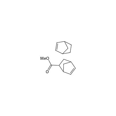 C1=CC2CCC1C2.COC(=O)C1CC2C=CC1C2